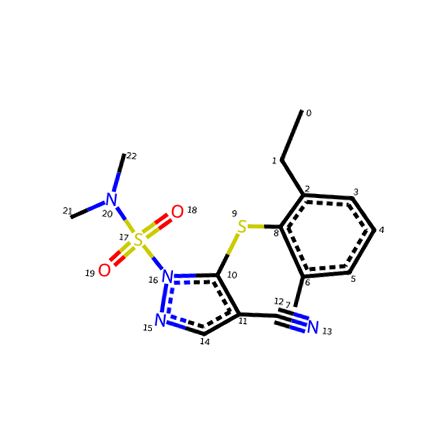 CCc1cccc(C)c1Sc1c(C#N)cnn1S(=O)(=O)N(C)C